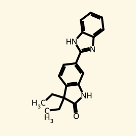 CCC1(CC)C(=O)Nc2cc(-c3nc4ccccc4[nH]3)ccc21